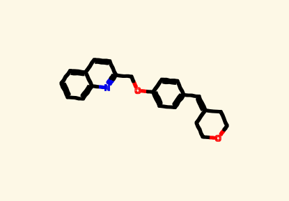 C(=C1CCOCC1)c1ccc(OCc2ccc3ccccc3n2)cc1